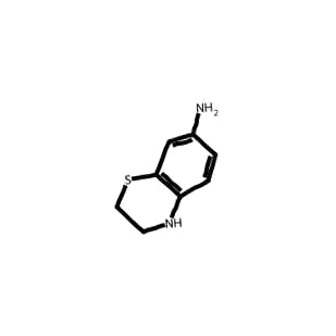 Nc1ccc2c(c1)SCCN2